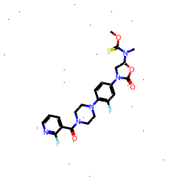 COC(=S)N(C)C1CN(c2ccc(N3CCN(C(=O)c4cccnc4F)CC3)c(F)c2)C(=O)O1